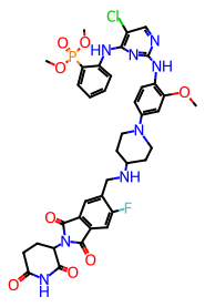 COc1cc(N2CCC(NCc3cc4c(cc3F)C(=O)N(C3CCC(=O)NC3=O)C4=O)CC2)ccc1Nc1ncc(Cl)c(Nc2ccccc2P(=O)(OC)OC)n1